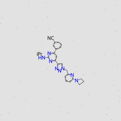 CC(C)Nc1nc(-c2cccc(C#N)c2)cc(-c2cn(Cc3cccc(N4CCC4)n3)nn2)n1